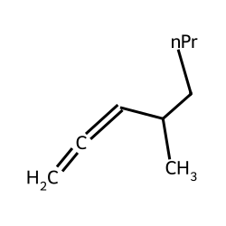 C=C=CC(C)CCCC